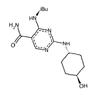 CC[C@H](C)Nc1nc(N[C@H]2CC[C@H](O)CC2)ncc1C(N)=O